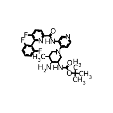 C[C@H]1CN(c2ccncc2NC(=O)c2ccc(F)c(-c3c(F)cccc3F)n2)C[C@@H](NC(=O)OC(C)(C)C)[C@H]1N